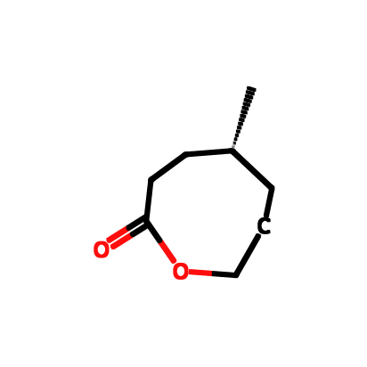 C[C@@H]1CCCOC(=O)CC1